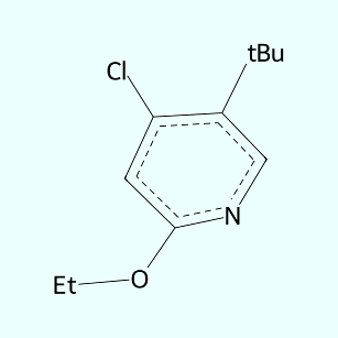 CCOc1cc(Cl)c(C(C)(C)C)cn1